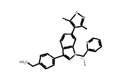 Cc1noc(C)c1-c1ccc2c(-c3ccc(CC(=O)O)cc3)cn([C@@H](C)c3ccccn3)c2c1